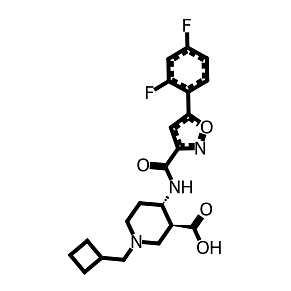 O=C(N[C@H]1CCN(CC2CCC2)C[C@@H]1C(=O)O)c1cc(-c2ccc(F)cc2F)on1